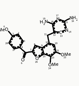 COc1ccc(C(=O)c2cc3c(Cc4cnc(N)nc4N)cc(OC)c(OC)c3o2)cc1